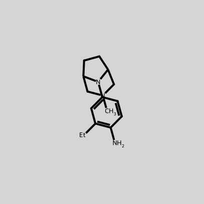 CCc1cc(N2C3CCC2CN(C)C3)ccc1N